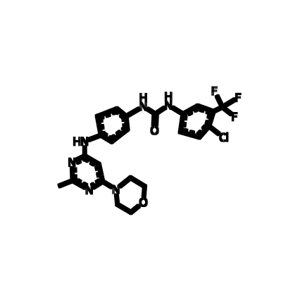 Cc1nc(Nc2ccc(NC(=O)Nc3ccc(Cl)c(C(F)(F)F)c3)cc2)cc(N2CCOCC2)n1